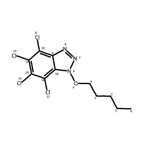 CCCCCOn1nnc2c(Cl)c(Cl)c(Cl)c(Cl)c21